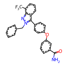 NC(=O)c1cccc(Oc2ccc(-c3c4cccc(C(F)(F)F)c4nn3Cc3ccccc3)cc2)c1